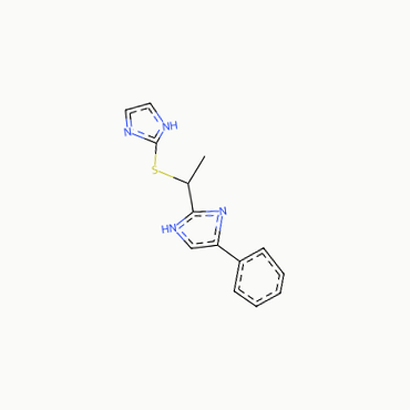 CC(Sc1ncc[nH]1)c1nc(-c2ccccc2)c[nH]1